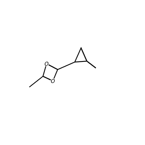 CC1OC(C2CC2C)O1